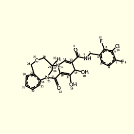 O=C(NCc1ccc(F)c(Cl)c1F)C1=CN2C(=C(O)C1O)C(=O)N1C[C@@H]2CCCc2ccccc21